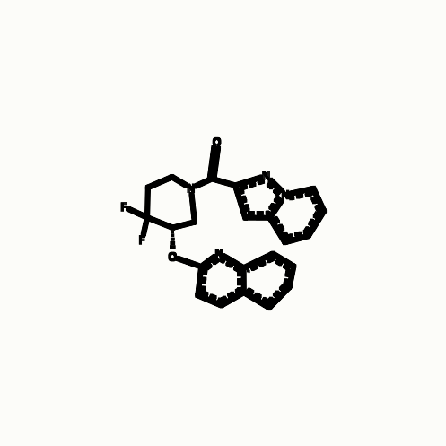 O=C(c1cc2ccccn2n1)N1CCC(F)(F)[C@@H](Oc2ccc3ccccc3n2)C1